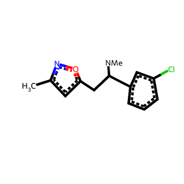 CNC(Cc1cc(C)no1)c1cccc(Cl)c1